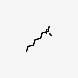 CCCCCCP(C)C